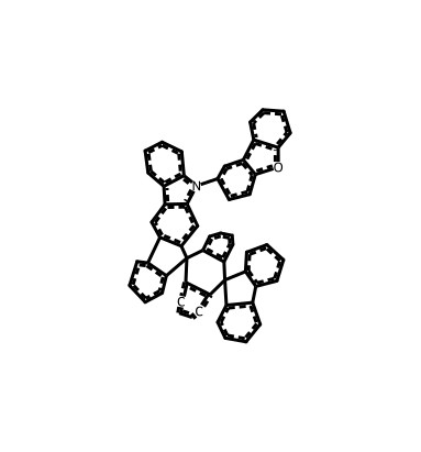 c1ccc2c(c1)-c1ccccc1C21c2ccccc2C2(c3ccccc3-c3cc4c5ccccc5n(-c5ccc6oc7ccccc7c6c5)c4cc32)c2ccccc21